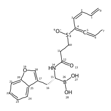 C=C/C=C\C(=C=CC)[S+]([O-])CCC(=O)N[C@@H](Cc1coc2ccccc12)B(O)O